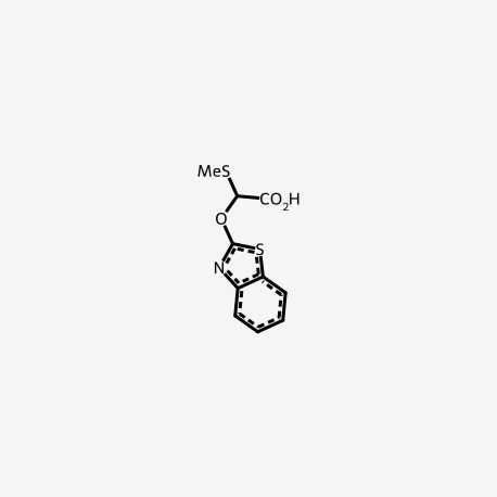 CSC(Oc1nc2ccccc2s1)C(=O)O